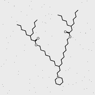 CCCCCC(CCCCC)CC(=O)OCCCCCCCCC(CCCCCCCCOC(=O)CC(CCCCC)CCCCC)CCN1CCCCC1